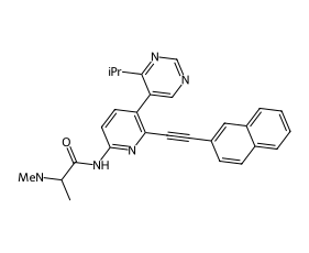 CNC(C)C(=O)Nc1ccc(-c2cncnc2C(C)C)c(C#Cc2ccc3ccccc3c2)n1